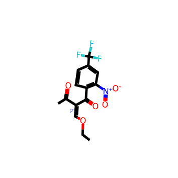 CCO/C=C(/C(C)=O)C(=O)c1ccc(C(F)(F)F)cc1[N+](=O)[O-]